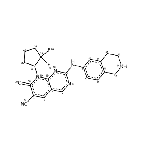 N#Cc1cc2cnc(Nc3ccc4c(c3)CCNC4)nc2n(C2CCCC2(F)F)c1=O